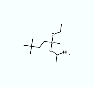 CCO[Si](C)(CCC(C)(C)C)OC(C)N